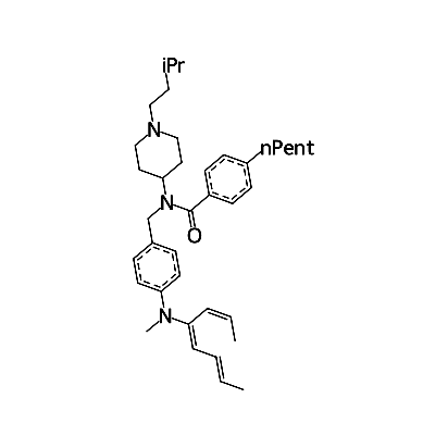 CC=C/C=C(\C=C/C)N(C)c1ccc(CN(C(=O)c2ccc(CCCCC)cc2)C2CCN(CCC(C)C)CC2)cc1